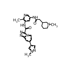 Cc1ncc(NC(=O)CC2CCCN(C)C2)cc1NC(=O)c1nnc2cc(-c3cnn(C)c3)ccn12